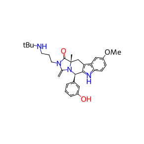 C=C1N(CCCNC(C)(C)C)C(=O)[C@]2(C)Cc3c([nH]c4ccc(OC)cc34)[C@@H](c3cccc(O)c3)N12